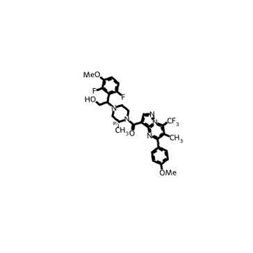 COc1ccc(-c2nc3c(C(=O)N4CCN(C(CO)c5c(F)ccc(OC)c5F)C[C@H]4C)cnn3c(C(F)(F)F)c2C)cc1